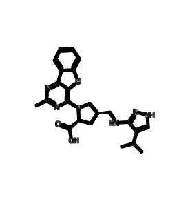 Cc1nc(N2C[C@@H](CNc3n[nH]cc3C(C)C)C[C@H]2C(=O)O)c2oc3ccccc3c2n1